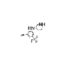 C#Cc1cc(NC2CCCNC2)cc(C(F)(F)F)c1